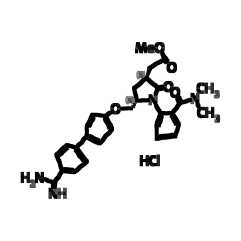 COC(=O)C[C@@H]1C[C@@H](COc2ccc(-c3ccc(C(=N)N)cc3)cc2)N(c2ccccc2C(=O)N(C)C)C1=O.Cl